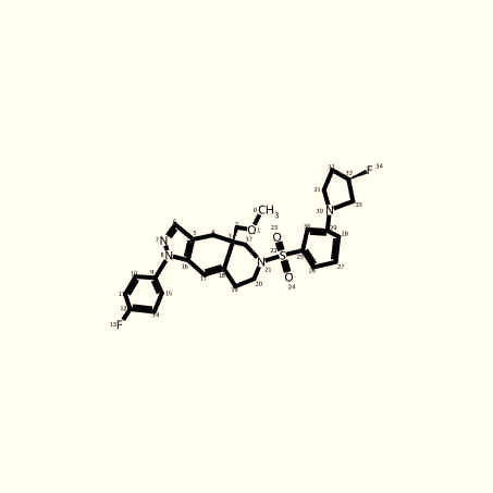 COC[C@]12Cc3cnn(-c4ccc(F)cc4)c3C=C1CCN(S(=O)(=O)c1cccc(N3CC[C@@H](F)C3)c1)C2